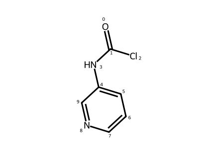 O=C(Cl)Nc1cccnc1